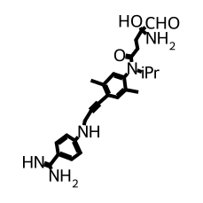 Cc1cc(N(C(=O)CCC(N)(O)C=O)C(C)C)c(C)cc1C#CCNc1ccc(C(=N)N)cc1